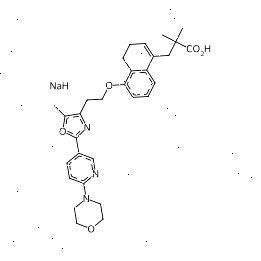 Cc1oc(-c2ccc(N3CCOCC3)nc2)nc1CCOc1cccc2c1CCC=C2CC(C)(C)C(=O)O.[NaH]